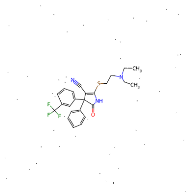 CCN(CC)CCSC1=C(C#N)C(c2ccccc2)(c2cccc(C(F)(F)F)c2)C(=O)N1